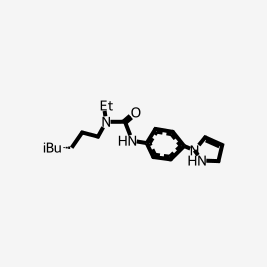 CC[C@@H](C)CCCN(CC)C(=O)Nc1ccc(N2C=CCN2)cc1